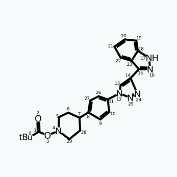 CC(C)(C)C(=O)ON1CCC(c2ccc(-n3cc(-c4n[nH]c5ccccc45)nn3)cc2)CC1